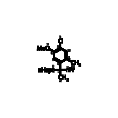 CCCCCCCC(C)(CCC)c1cc(OC)c(Cl)cc1C